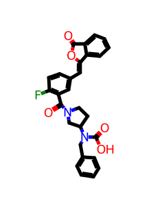 O=C1OC(=Cc2ccc(F)c(C(=O)N3CCC(N(Cc4ccccc4)C(=O)O)C3)c2)c2ccccc21